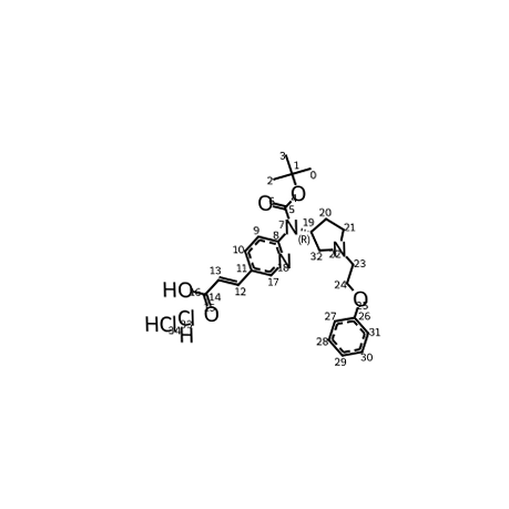 CC(C)(C)OC(=O)N(c1ccc(C=CC(=O)O)cn1)[C@@H]1CCN(CCOc2ccccc2)C1.Cl.Cl